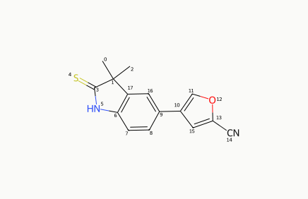 CC1(C)C(=S)Nc2ccc(-c3coc(C#N)c3)cc21